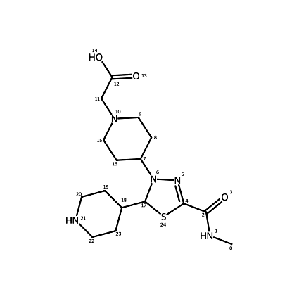 CNC(=O)C1=NN(C2CCN(CC(=O)O)CC2)C(C2CCNCC2)S1